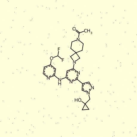 CC(=O)N1CCC2(CC1)CN(c1cc(Nc3cc(OC(F)F)ccn3)nc(-c3cnn(CC4(O)CC4)c3)n1)C2